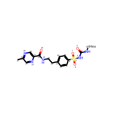 CCCCCCNC(=O)NS(=O)(=O)c1ccc(CCNC(=O)c2cnc(C)cn2)cc1